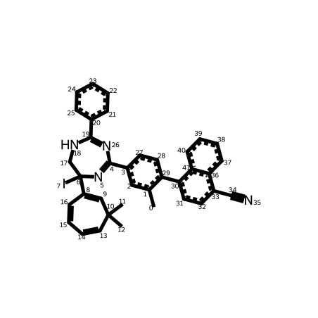 Cc1cc(C2=NC(I)(C3=CC(C)(C)C=CC=C3)CNC(c3ccccc3)=N2)ccc1-c1ccc(C#N)c2ccccc12